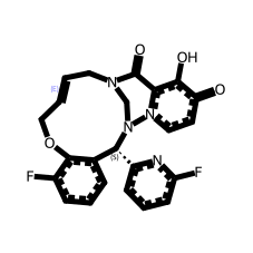 O=C1c2c(O)c(=O)ccn2N2CN1C/C=C/COc1c(F)cccc1[C@H]2c1cccc(F)n1